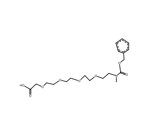 CN(CCOCCOCCOCCOCC(=O)O)C(=O)OCc1ccccc1